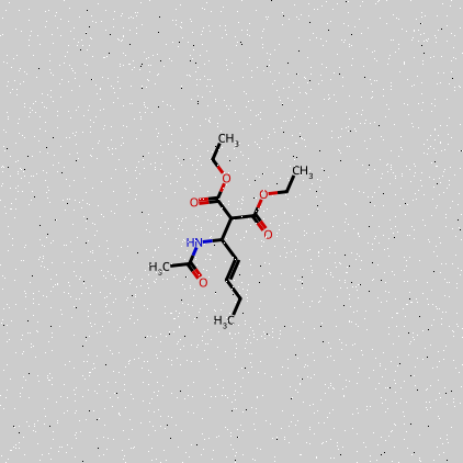 CCC=CC(NC(C)=O)C(C(=O)OCC)C(=O)OCC